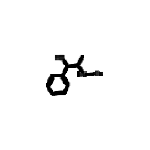 CCCCNC(C)C(O)c1ccccc1